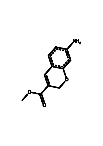 COC(=O)C1=Cc2ccc(N)cc2OC1